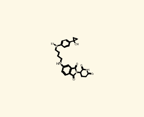 CCN(CCCCNc1ccc2c(c1)C(=O)N(C1CCC(=O)NC1=O)C2=O)c1ccc(C2(C#N)CC2)cc1